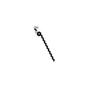 CCCCCCCCCCCCCCCCCCCCc1ccc(OCCO)cc1